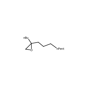 CCCCCCCCC1(CCCC)CO1